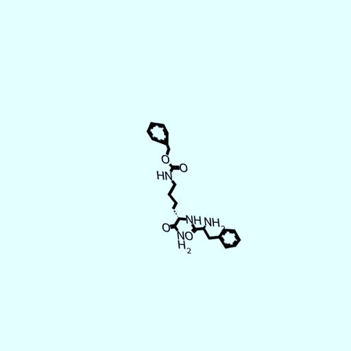 NC(=O)[C@H](CCCCNC(=O)OCc1ccccc1)NC(=O)[C@@H](N)Cc1ccccc1